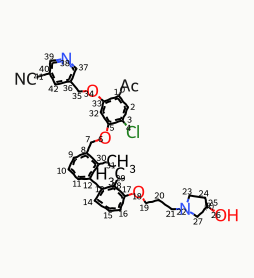 CC(=O)c1cc(Cl)c(OCc2cccc(-c3cccc(OCCCN4CC[C@@H](O)C4)c3C)c2C)cc1OCc1cncc(C#N)c1